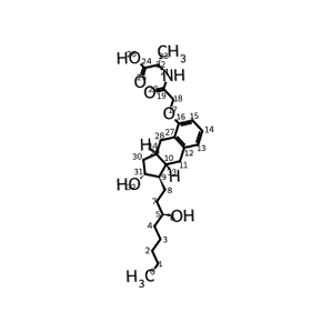 CCCCC[C@H](O)CC[C@@H]1[C@H]2Cc3cccc(OCC(=O)N[C@@H](C)C(=O)O)c3C[C@H]2C[C@H]1O